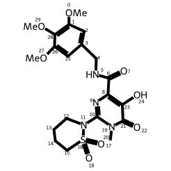 COc1cc(CNC(=O)c2nc(N3CCCCS3(=O)=O)n(C)c(=O)c2O)cc(OC)c1OC